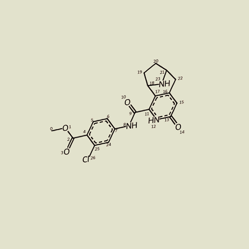 COC(=O)c1ccc(NC(=O)c2[nH]c(=O)cc3c2C2CCC(C3)N2)cc1Cl